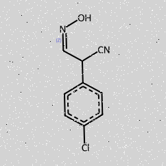 N#CC(/C=N\O)c1ccc(Cl)cc1